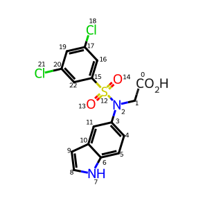 O=C(O)CN(c1ccc2[nH]ccc2c1)S(=O)(=O)c1cc(Cl)cc(Cl)c1